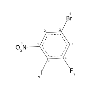 O=[N+]([O-])c1cc(Br)cc(F)c1I